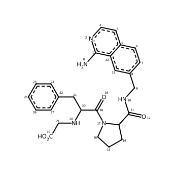 Nc1nccc2ccc(CNC(=O)C3CCCN3C(=O)C(Cc3ccccc3)NCC(=O)O)cc12